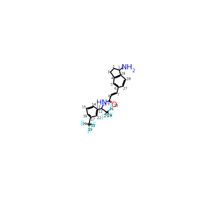 NC1CCc2cc(C=CC(=O)NC(c3cccc(C(F)(F)F)c3)C(F)(F)F)ccc21